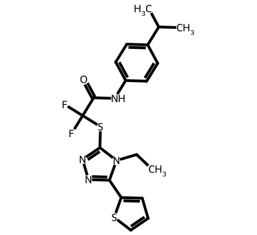 CCn1c(SC(F)(F)C(=O)Nc2ccc(C(C)C)cc2)nnc1-c1cccs1